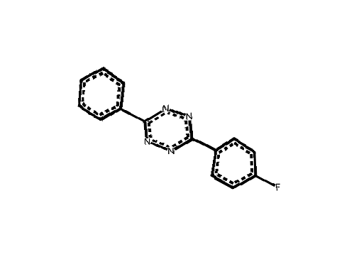 Fc1ccc(-c2nnc(-c3ccccc3)nn2)cc1